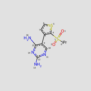 CC(C)S(=O)(=O)c1sccc1-c1cnc(N)nc1N